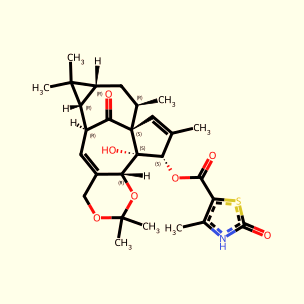 CC1=C[C@]23C(=O)[C@@H](C=C4COC(C)(C)O[C@H]4[C@]2(O)[C@H]1OC(=O)c1sc(=O)[nH]c1C)[C@H]1[C@@H](C[C@H]3C)C1(C)C